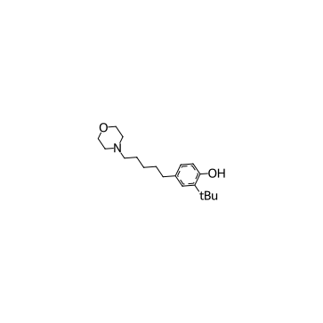 CC(C)(C)c1cc(CCCCCN2CCOCC2)ccc1O